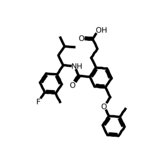 Cc1cc(C(CC(C)C)NC(=O)c2cc(COc3ccccc3C)ccc2CCC(=O)O)ccc1F